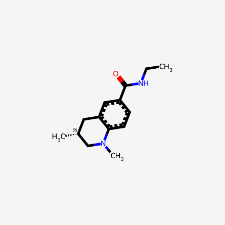 CCNC(=O)c1ccc2c(c1)C[C@@H](C)CN2C